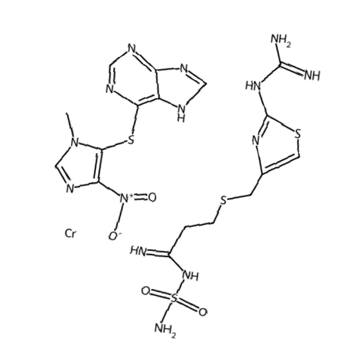 Cn1cnc([N+](=O)[O-])c1Sc1ncnc2nc[nH]c12.N=C(N)Nc1nc(CSCCC(=N)NS(N)(=O)=O)cs1.[Cr]